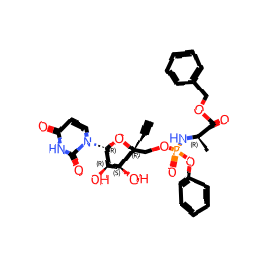 C#C[C@]1(COP(=O)(N[C@H](C)C(=O)OCc2ccccc2)Oc2ccccc2)O[C@@H](n2ccc(=O)[nH]c2=O)[C@H](O)[C@@H]1O